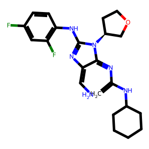 C=C(/N=C1\C(=C/N)N=C(Nc2ccc(F)cc2F)N1[C@H]1CCOC1)NC1CCCCC1